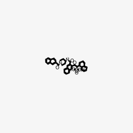 CN(C(=O)c1cc2ccccc2cc1C(=O)C(c1cccc2ccccc12)P(=O)(O)O)C1CCN(C(=O)c2ccc3ccccc3c2)CC1